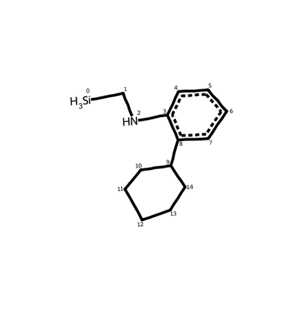 [SiH3]CNc1ccccc1C1CCCCC1